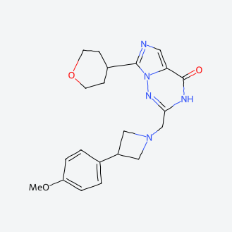 COc1ccc(C2CN(Cc3nn4c(C5CCOCC5)ncc4c(=O)[nH]3)C2)cc1